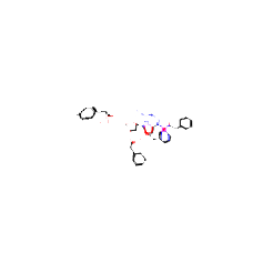 N#C[C@@]1(c2ccc3c(NC(=O)Cc4ccccc4)ncnn23)O[C@H](COC(=O)Cc2ccccc2)[C@@H](OC(=O)Cc2ccccc2)[C@H]1OC(=O)Cc1ccccc1